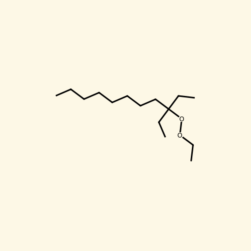 CCCCCCCCC(CC)(CC)OOCC